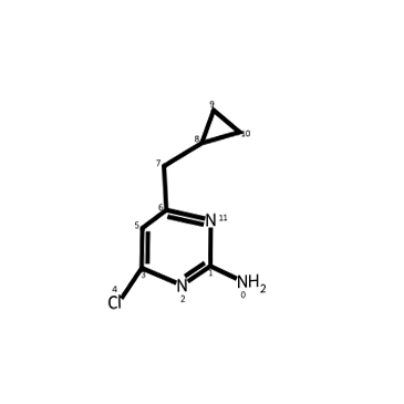 Nc1nc(Cl)cc(CC2CC2)n1